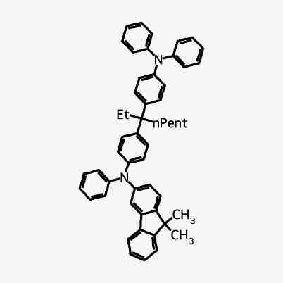 CCCCCC(CC)(c1ccc(N(c2ccccc2)c2ccccc2)cc1)c1ccc(N(c2ccccc2)c2ccc3c(c2)-c2ccccc2C3(C)C)cc1